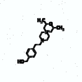 CC1C[N+]2(CCN(CCc3ccc(CO)cc3)CC2)CC(C)O1